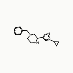 c1ccc(CN2CCNC(c3cnn(C4CC4)c3)C2)cc1